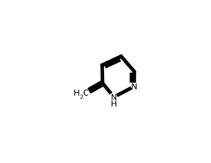 C=C1C=CC=NN1